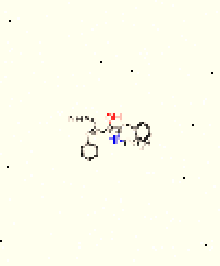 CC(=O)N[C@@H](Cc1ccccc1)C[C@@H](O)[C@H](Cc1ccccc1)NC(=O)O